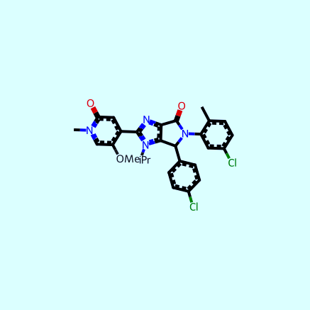 COc1cn(C)c(=O)cc1-c1nc2c(n1C(C)C)C(c1ccc(Cl)cc1)N(c1cc(Cl)ccc1C)C2=O